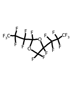 FC(F)(F)C(F)(F)C(F)(F)C1(F)OC(F)(F)C(F)(C(F)(F)C(F)(F)C(F)(F)F)O1